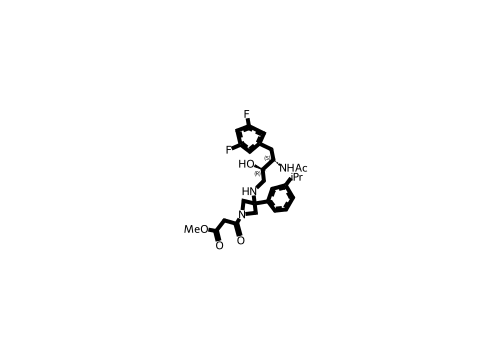 COC(=O)CC(=O)N1CC(NC[C@@H](O)[C@H](Cc2cc(F)cc(F)c2)NC(C)=O)(c2cccc(C(C)C)c2)C1